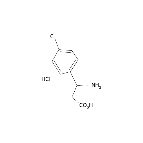 Cl.NC(CC(=O)O)c1ccc(Cl)cc1